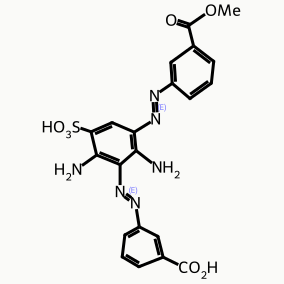 COC(=O)c1cccc(/N=N/c2cc(S(=O)(=O)O)c(N)c(/N=N/c3cccc(C(=O)O)c3)c2N)c1